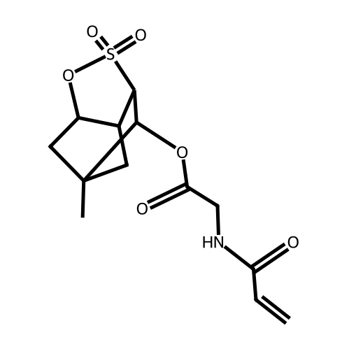 C=CC(=O)NCC(=O)OC1C2C3CC1(C)CC3OS2(=O)=O